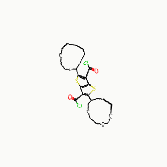 O=C(Cl)c1c(C2CCCCCCCCCC2)sc2c(C(=O)Cl)c(C3CCCCCCCCCC3)sc12